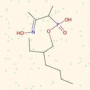 CCCCC(CC)COP(=O)(O)C(C)C(C)=NO